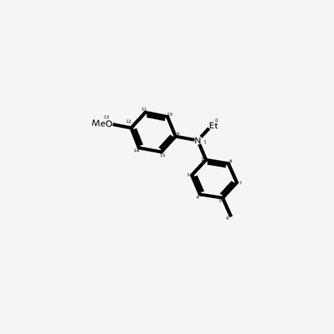 CCN(c1ccc(C)cc1)c1ccc(OC)cc1